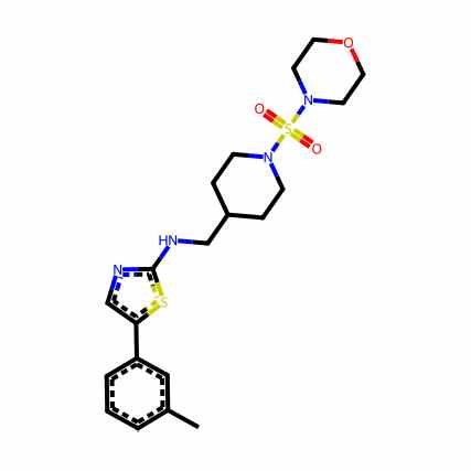 Cc1[c]ccc(-c2cnc(NCC3CCN(S(=O)(=O)N4CCOCC4)CC3)s2)c1